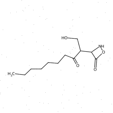 CCCCCCCC(=O)C(CO)C1NOC1=O